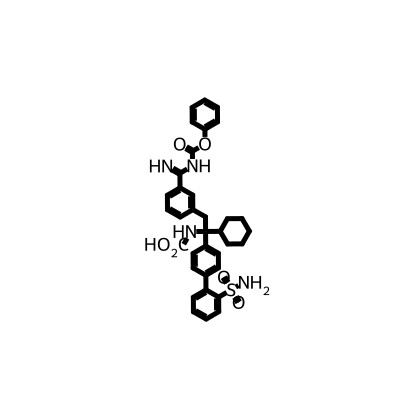 N=C(NC(=O)Oc1ccccc1)c1cccc(CC(NC(=O)O)(c2ccc(-c3ccccc3S(N)(=O)=O)cc2)C2CCCCC2)c1